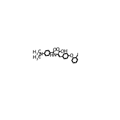 CN(C)c1ccc(C(=O)NC(=Cc2ccc(Oc3ccccc3I)cc2)C(=O)O)cc1